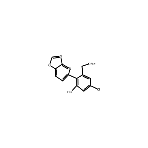 COCc1cc(Cl)cc(O)c1-c1ccc2ocnc2n1